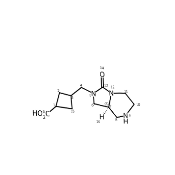 O=C(O)C1CC(CN2C[C@@H]3CNCCN3C2=O)C1